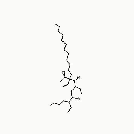 CCCCCCCCCCCCC(CC)(C(C)=O)C(Br)C(CC)CC(Br)C(CC)CCCC